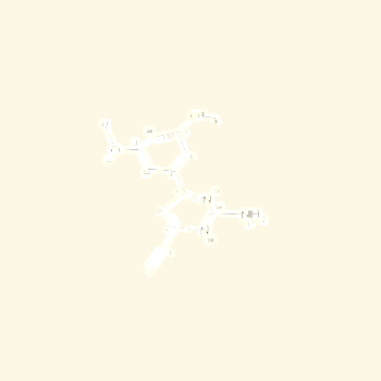 C#Cc1cc(-c2cc(OC)cc(OC)c2)nc(N)n1